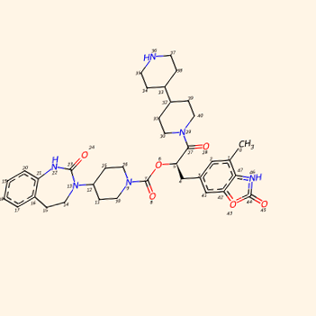 Cc1cc(C[C@@H](OC(=O)N2CCC(N3CCc4ccccc4NC3=O)CC2)C(=O)N2CCC(C3CCNCC3)CC2)cc2oc(=O)[nH]c12